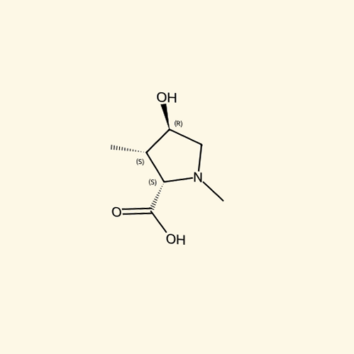 C[C@H]1[C@@H](C(=O)O)N(C)C[C@@H]1O